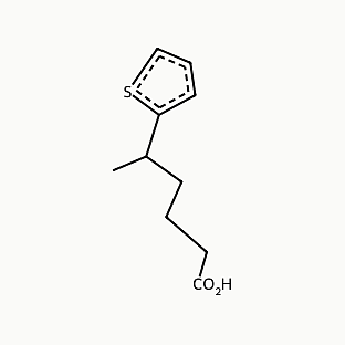 CC(CCCC(=O)O)c1cccs1